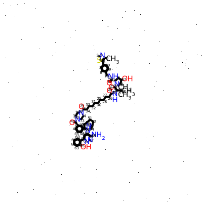 Cc1ncsc1-c1ccc(CNC(=O)[C@@H]2C[C@@H](O)CN2C(=O)[C@@H](NC(=O)CCCCCCCCCC(=O)N2CCN(C(=O)c3cccc(CN4C5CCC4CN(c4cc(-c6ccccc6O)nnc4N)CC5)c3)CC2)C(C)(C)C)cc1